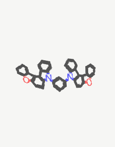 c1cc(-n2c3ccccc3c3c4c(ccc32)oc2ccccc24)cc(-n2c3ccccc3c3c4c(ccc32)oc2ccccc24)c1